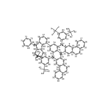 CC(C)(C)c1cc(N2c3cc4c(ccc5ccccc54)cc3B3c4cc5ccc6ccccc6c5cc4N(c4cc(C(C)(C)C)cc(C(C)(C)C)c4)c4cc(-c5cccc6c5c5ccccc5n6-c5ccccc5)cc2c43)cc(C(C)(C)C)c1